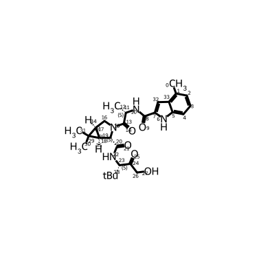 Cc1cccc2[nH]c(C(=O)N[C@@H](C)C(=O)N3C[C@H]4[C@@H]([C@H]3C(=O)N[C@H](C(=O)CO)C(C)(C)C)C4(C)C)cc12